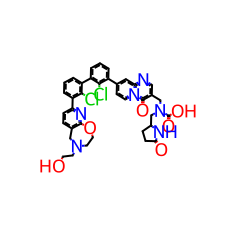 O=C1CCC(CN(Cc2cnc3cc(-c4cccc(-c5cccc(-c6ccc7c(n6)OCCN(CCO)C7)c5Cl)c4Cl)ccn3c2=O)C(=O)O)N1